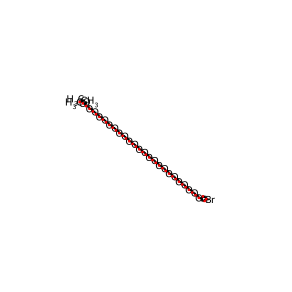 CC(C)(C)OC(=O)CCOCCOCCOCCOCCOCCOCCOCCOCCOCCOCCOCCOCCOCCOCCOCCOCCOCCOCCOCCOCCOCCOCCOc1ccc(Br)cc1